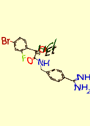 CCO[C@H](C(=O)NCc1ccc(C(=N)N)cc1)c1ccc(Br)cc1F.Cl